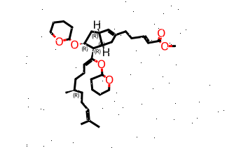 COC(=O)C=CCCC1=C[C@@H]2C[C@@H](OC3CCCCO3)[C@H](C(=CCC[C@H](C)CCC=C(C)C)OC3CCCCO3)[C@@H]2C1